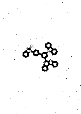 CCc1nc2ccccc2n1-c1ccc(-c2cc(-c3nc4ccccc4c4c3sc3ccccc34)cc(-n3c4ccccc4c4ccccc43)c2)cc1